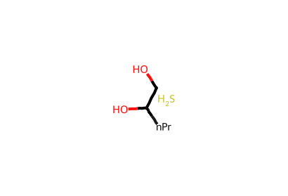 CCCC(O)CO.S